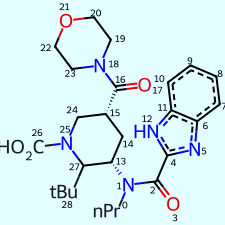 CCCN(C(=O)c1nc2ccccc2[nH]1)[C@H]1C[C@@H](C(=O)N2CCOCC2)CN(C(=O)O)C1C(C)(C)C